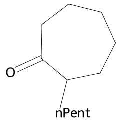 CCCCCC1CCCCCC1=O